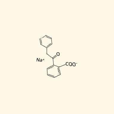 O=C([O-])c1ccccc1C(=O)Cc1ccccc1.[Na+]